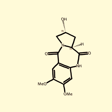 COc1cc2c(cc1OC)C(=O)N1C[C@H](O)C[C@H]1C(=O)N2